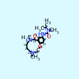 CC(C)N(C)C(=O)Nc1ccc2c(c1)C(=O)N(C)CCCCN(C)CCO2